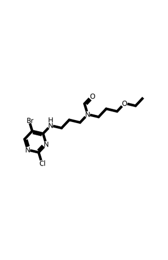 CCOCCCN(C=O)CCCNc1nc(Cl)ncc1Br